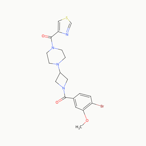 COc1cc(C(=O)N2CC(N3CCN(C(=O)c4cscn4)CC3)C2)ccc1Br